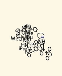 CC[C@H](C)[C@@H]([C@@H](CC(=O)N1CCC[C@H]1[C@H](OC)[C@@H](C)C(=O)N[C@H](C)[C@@H](O)c1ccccc1)OC)N(C)C(=O)[C@@H](NC(=O)[C@H](C(C)C)N(C)C(=O)OCc1ccc(OC(=O)NC2/C=C/CCCCC2)c(C(=O)NCCN2C(=O)C=CC2=O)c1)C(C)C